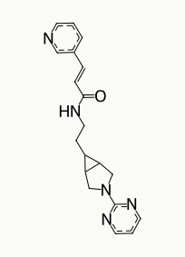 O=C(/C=C/c1cccnc1)NCCC1C2CN(c3ncccn3)CC12